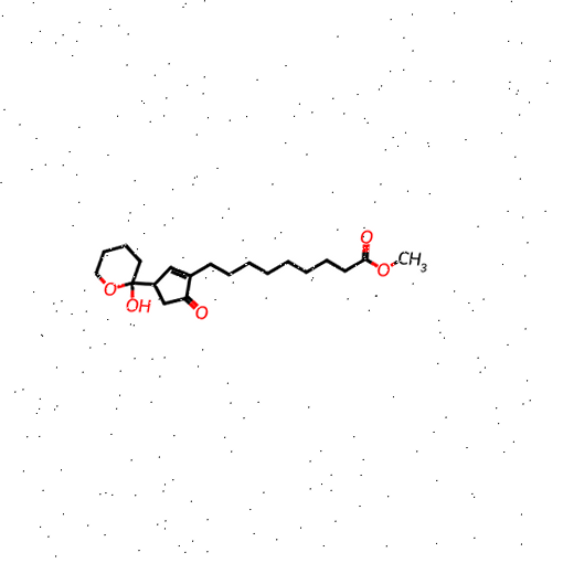 COC(=O)CCCCCCCCC1=CC(C2(O)CCCCO2)CC1=O